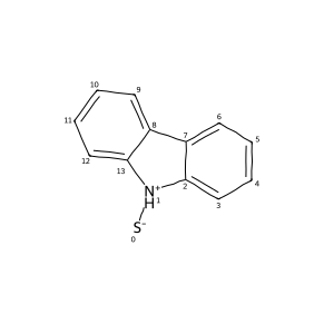 [S-][NH+]1c2ccccc2-c2ccccc21